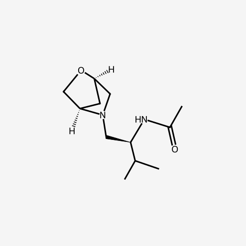 CC(=O)N[C@H](CN1C[C@H]2C[C@@H]1CO2)C(C)C